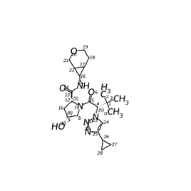 CC(C)(C)[C@@H](C(=O)N1C[C@H](O)C[C@H]1C(=O)NC1C2CCOCC21)n1cc(C2CC2)nn1